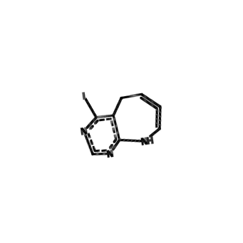 Ic1ncnc2c1CC=C=CN2